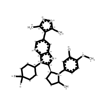 COc1ccc(N2C(O)CC[C@H]2c2nc3cc(-c4c(C)noc4C)cnc3n2C2CCC(F)(F)CC2)cc1Cl